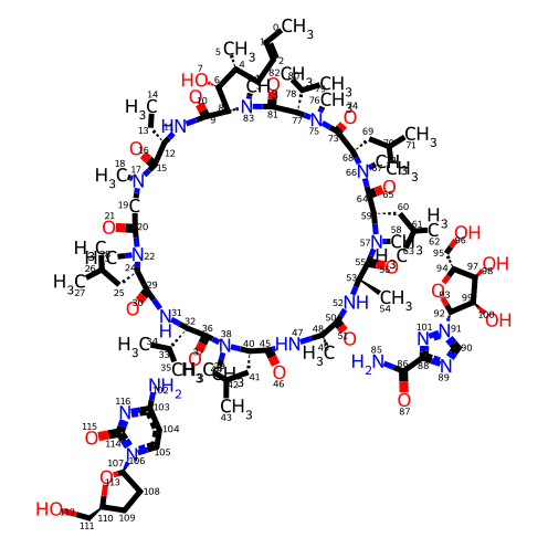 C/C=C/C[C@@H](C)[C@@H](O)[C@H]1C(=O)N[C@@H](CC)C(=O)N(C)CC(=O)N(C)[C@@H](CC(C)C)C(=O)N[C@@H](C(C)C)C(=O)N(C)[C@@H](CC(C)C)C(=O)N[C@@H](C)C(=O)N[C@H](C)C(=O)N(C)[C@@H](CC(C)C)C(=O)N(C)[C@@H](CC(C)C)C(=O)N(C)[C@@H](C(C)C)C(=O)N1C.NC(=O)c1ncn([C@@H]2O[C@H](CO)[C@@H](O)[C@H]2O)n1.Nc1ccn([C@H]2CC[C@@H](CO)O2)c(=O)n1